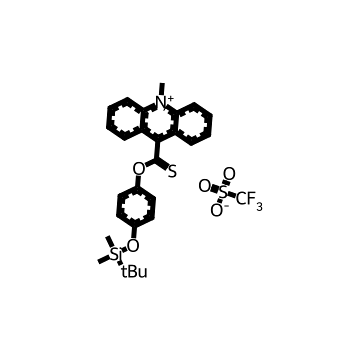 C[n+]1c2ccccc2c(C(=S)Oc2ccc(O[Si](C)(C)C(C)(C)C)cc2)c2ccccc21.O=S(=O)([O-])C(F)(F)F